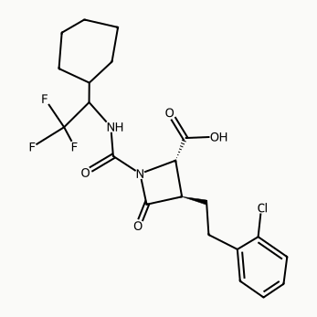 O=C(O)[C@@H]1[C@@H](CCc2ccccc2Cl)C(=O)N1C(=O)NC(C1CCCCC1)C(F)(F)F